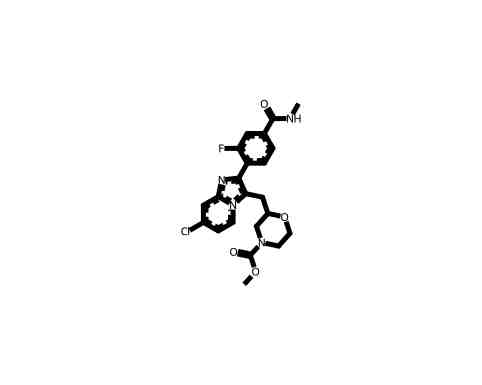 CNC(=O)c1ccc(-c2nc3cc(Cl)ccn3c2CC2CN(C(=O)OC)CCO2)c(F)c1